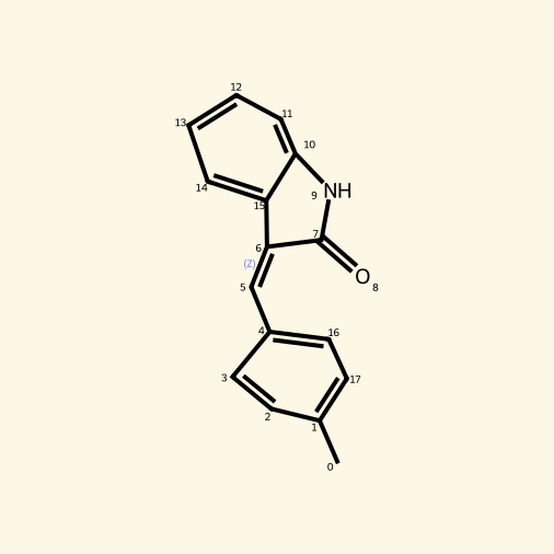 Cc1ccc(/C=C2\C(=O)Nc3ccccc32)cc1